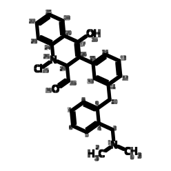 CN(C)Cc1ccccc1Cc1cccc(C2=C(O)c3ccccc3N(Cl)C2C=O)c1